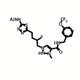 CC(=O)Nc1nnc(CCC(F)CN2C=C(C(=O)NCc3cccc(OC(F)(F)F)c3)N(C)N2)s1